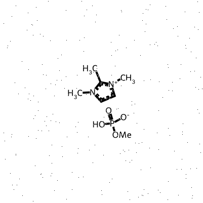 COP(=O)([O-])O.Cc1n(C)cc[n+]1C